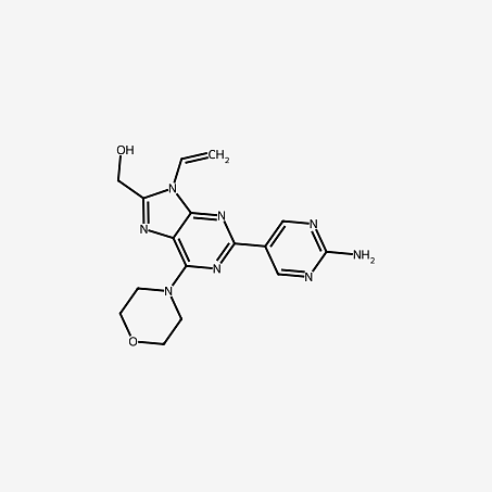 C=Cn1c(CO)nc2c(N3CCOCC3)nc(-c3cnc(N)nc3)nc21